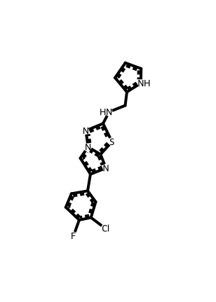 Fc1ccc(-c2cn3nc(NCc4ccc[nH]4)sc3n2)cc1Cl